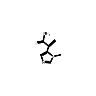 C=C(C(N)=O)c1cncn1C